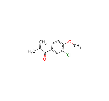 C=C(C)C(=O)c1ccc(OC)c(Cl)c1